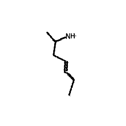 CC/C=C/CC(C)[NH]